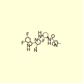 Cc1cc(C(=O)N[C@@H]2CCC[C@@H](Nc3nc(-c4c[nH]c5c(F)cc(F)cc45)c(C#N)cc3F)C2)on1